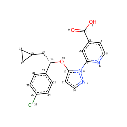 O=C(O)c1ccnc(-n2nccc2O[C@@H](CC2CC2)c2ccc(Cl)cc2)c1